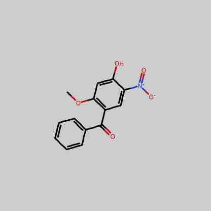 COc1cc(O)c([N+](=O)[O-])cc1C(=O)c1ccccc1